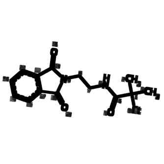 CCC(C)(C)C(=O)NCCN1C(=O)c2ccccc2C1=O